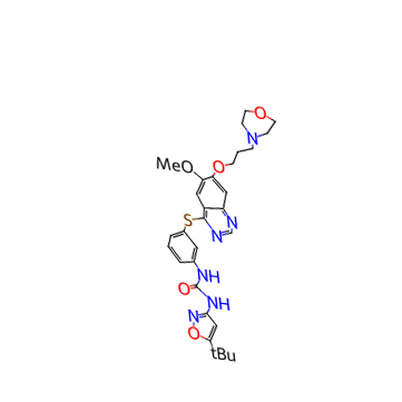 COc1cc2c(Sc3cccc(NC(=O)Nc4cc(C(C)(C)C)on4)c3)ncnc2cc1OCCCN1CCOCC1